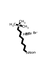 Br.Br.CCCCCCCCCCCCCCCC[N+](C)(C)C.[Br-]